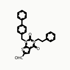 O=Cc1cc2c(=O)n(CCc3ccccc3)c(=O)n(Cc3ccc(-c4ccccc4)cc3)c2s1